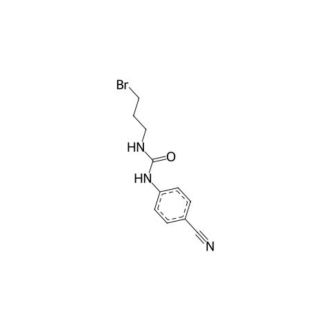 N#Cc1ccc(NC(=O)NCCCBr)cc1